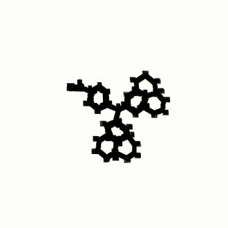 COc1ccc(C(c2cc3c4c(c2)CCCN4CCC3)c2cc3c4c(c2)CCCN4CCC3)cc1